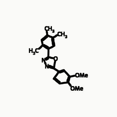 COc1ccc(-c2nnc(-c3cc(C)c(C)cc3C)o2)cc1OC